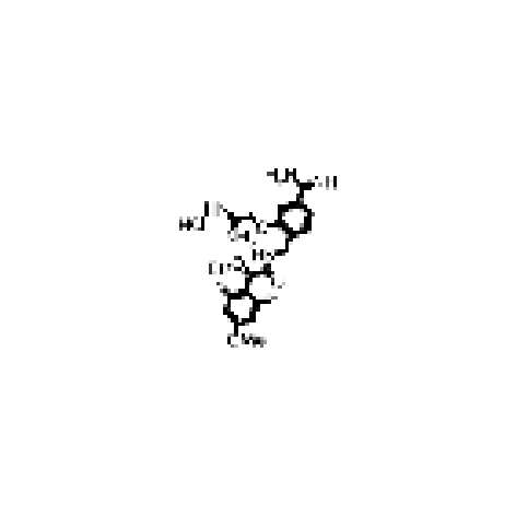 CCOC(C(=O)NCc1ccc(C(=N)N)cc1OCC(=N)N)c1c(F)cc(OC)cc1F.Cl